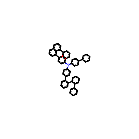 c1ccc(-c2ccc(N(c3ccc(-c4ccccc4-c4ccccc4-c4ccccc4)cc3)c3ccc(-c4cccc5cccc(-c6ccccc6)c45)cc3)cc2)cc1